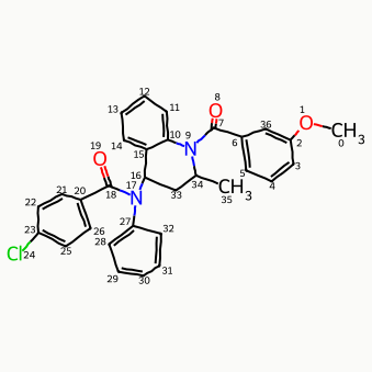 COc1cccc(C(=O)N2c3ccccc3C(N(C(=O)c3ccc(Cl)cc3)c3ccccc3)CC2C)c1